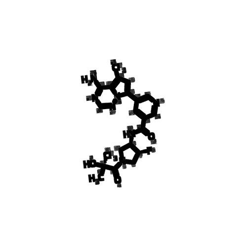 C[C@@](O)(C(=O)N1C[C@H](F)[C@H](NC(=O)c2cncc(-c3cc(C(F)(F)F)c4c(N)ncnn34)c2)C1)C(F)(F)F